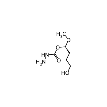 CO[C@@H](CCCO)OC(=O)NN